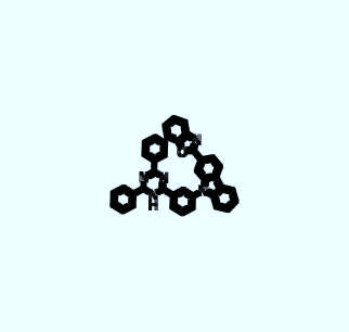 c1ccc(C2=NC(c3ccccc3)NC(c3cccc(-n4c5ccccc5c5ccc(-c6nc7ccccc7o6)cc54)c3)=N2)cc1